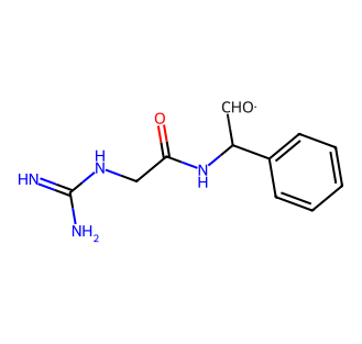 N=C(N)NCC(=O)NC([C]=O)c1ccccc1